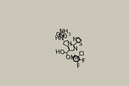 COC(O)C1=C2C[C@H](NS(N)(=O)=O)CN2C(c2nccs2)=N[C@@H]1c1ccc(F)c(F)c1Cl